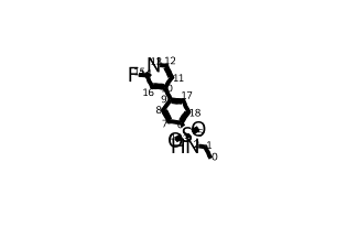 CCNS(=O)(=O)c1ccc(-c2ccnc(F)c2)cc1